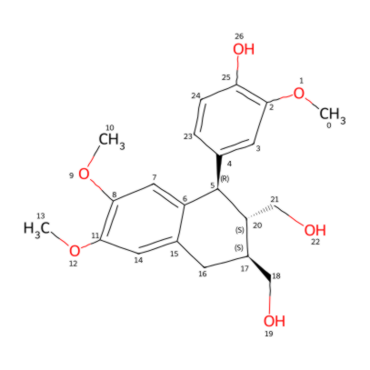 COc1cc([C@@H]2c3cc(OC)c(OC)cc3C[C@H](CO)[C@H]2CO)ccc1O